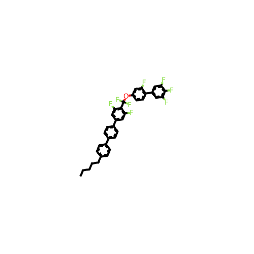 CCCCCc1ccc(-c2ccc(-c3cc(F)c(C(F)(F)Oc4ccc(-c5cc(F)c(F)c(F)c5)c(F)c4)c(F)c3)cc2)cc1